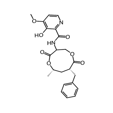 COc1ccnc(C(=O)NC2COC(=O)[C@H](Cc3ccccc3)C[C@H](C)OC2=O)c1O